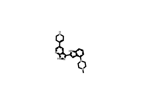 CN1CCN(c2cccc3[nH]c(-c4n[nH]c5ncc(C6=CCNCC6)cc45)cc23)CC1